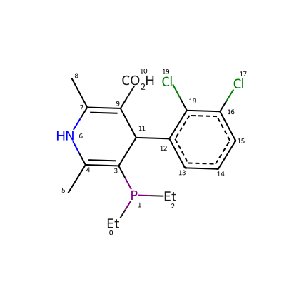 CCP(CC)C1=C(C)NC(C)=C(C(=O)O)C1c1cccc(Cl)c1Cl